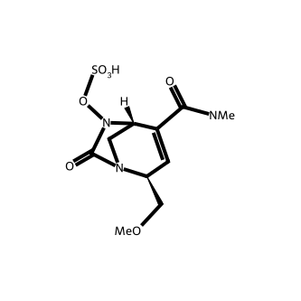 CNC(=O)C1=C[C@@H](COC)N2C[C@@H]1N(OS(=O)(=O)O)C2=O